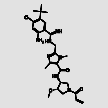 C=CC(=O)N1C[C@H](NC(=O)c2c(C)nc(CNC(=N)c3cc(C(C)(C)C)c(Cl)cc3N)n2C)[C@@H](OC)C1